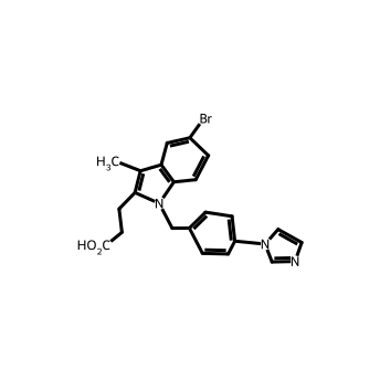 Cc1c(CCC(=O)O)n(Cc2ccc(-n3ccnc3)cc2)c2ccc(Br)cc12